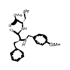 COC(=O)[C@H](CC(C)C)NC(=O)[C@H](Cc1ccccc1)NCc1ccc(OC)cc1